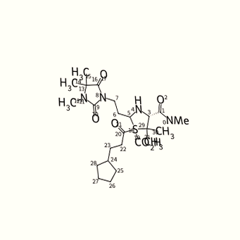 CNC(=O)[C@H]1NC(CCN2C(=O)N(C)C(C)(C)C2=O)S(C(=O)O)(C(=O)CCC2CCCC2)C1(C)C